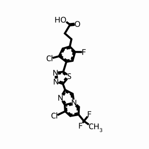 CC(F)(F)c1cc(Cl)c2nc(-c3nnc(-c4cc(F)c(CCC(=O)O)cc4Cl)s3)cn2c1